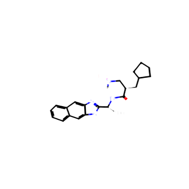 CC(C)(C)[C@H](NC(=O)[C@H](CC1CCCC1)CN(O)C=O)c1nc2cc3ccccc3cc2[nH]1